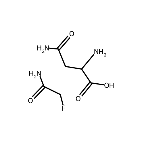 NC(=O)CC(N)C(=O)O.NC(=O)CF